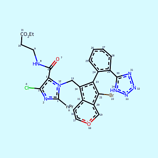 CCCc1nc(Cl)c(C(=O)NCCC(=O)OCC)n1Cc1c2ccocc-2c(Br)c1-c1ccccc1-c1nnn[nH]1